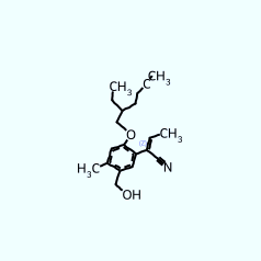 C/C=C(\C#N)c1cc(CO)c(C)cc1OCC(CC)CCCC